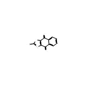 O=C1c2ccccc2C(=O)c2sc(Cl)nc21